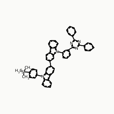 C[Si](C)(C)c1ccc(-n2c3ccccc3c3ccc(-c4ccc5c6ccccc6n(-c6cccc(-c7nc(-c8ccccc8)nc(-c8ccccc8)n7)c6)c5c4)cc32)cc1